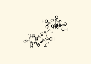 C[C@@H](OP(=O)(O)OP(=O)(O)OP(=O)(O)O)[C@H]1O[C@@H](n2ncc(=O)[nH]c2=O)[C@@](F)(CF)C1O